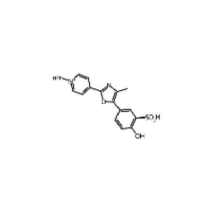 CCC[n+]1ccc(-c2nc(C)c(-c3ccc(O)c(S(=O)(=O)O)c3)o2)cc1